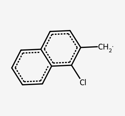 [CH2]c1ccc2ccccc2c1Cl